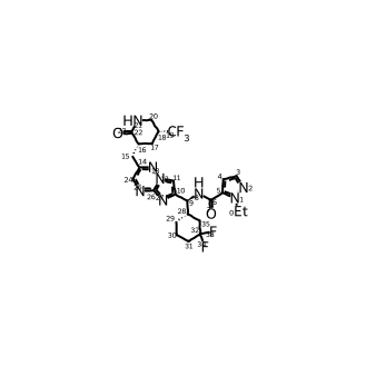 CCn1nccc1C(=O)N[C@H](c1cn2nc(C[C@H]3C[C@@H](C(F)(F)F)CNC3=O)cnc2n1)[C@H]1CCCC(F)(F)C1